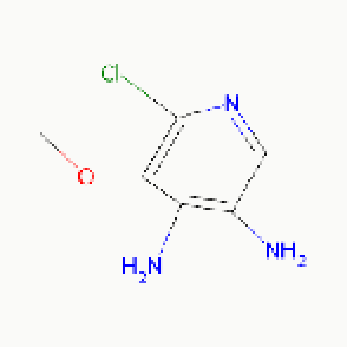 COc1c(Cl)ncc(N)c1N